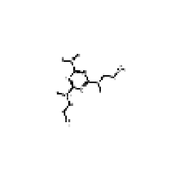 CN(C)c1nc(N(C)CCO)nc(N(C)CCO)n1